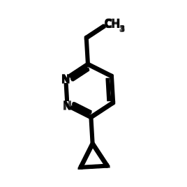 CCc1ccc(C2CC2)nn1